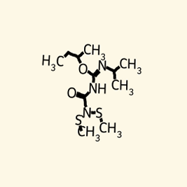 CCC(C)OC(=NC(C)C)NC(=O)N(SC)SC